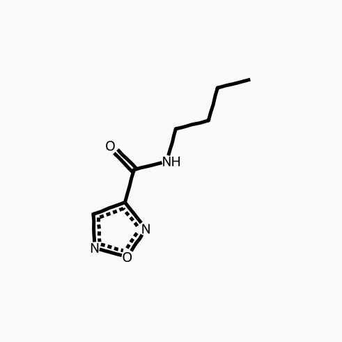 CCCCNC(=O)c1cnon1